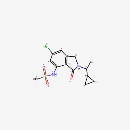 CCCS(=O)(=O)Nc1cc(Br)cc2c1C(=O)N(C(C)C1CC1)C2